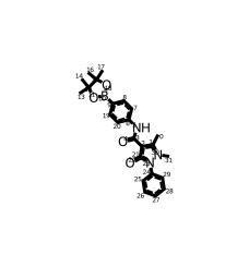 Cc1c(C(=O)Nc2ccc(B3OC(C)(C)C(C)(C)O3)cc2)c(=O)n(-c2ccccc2)n1C